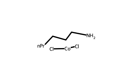 CCCCCCN.[Cl][Co][Cl]